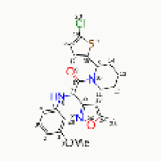 COc1cccc(NC(C(=O)N2CCCCC2c2ccc(Cl)s2)c2cc(C)on2)c1